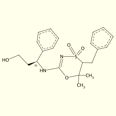 CC1(C)OC(N[C@@H](CCO)c2ccccc2)=NS(=O)(=O)C1Cc1ccccc1